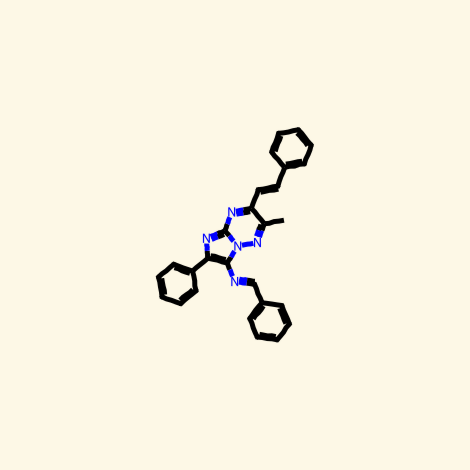 Cc1nn2c(/N=C/c3ccccc3)c(-c3ccccc3)nc2nc1/C=C/c1ccccc1